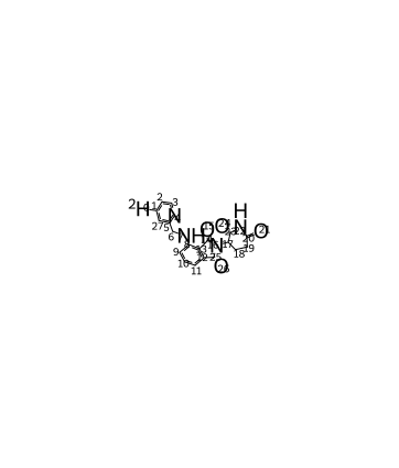 [2H]c1ccnc(CNc2cccc3c2C(=O)N(C2CCC(=O)NC2=O)C3=O)c1